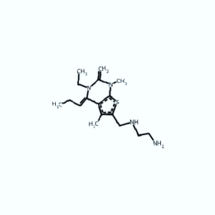 C=C1N(CC)C(=CCC)c2c(sc(CNCCN)c2C)N1C